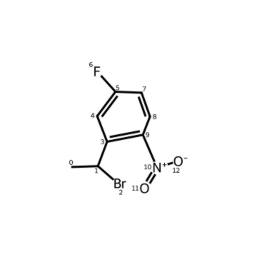 CC(Br)c1cc(F)ccc1[N+](=O)[O-]